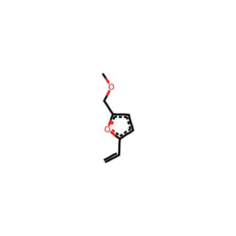 C=Cc1ccc(COC)o1